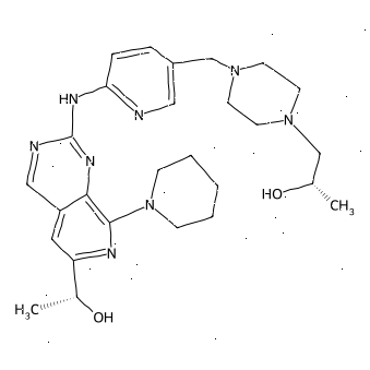 C[C@H](O)CN1CCN(Cc2ccc(Nc3ncc4cc([C@@H](C)O)nc(N5CCCCC5)c4n3)nc2)CC1